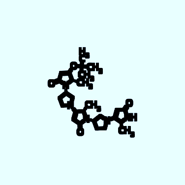 C[C@@H]1NC(=O)C=C1N1CC[C@H](N2C(=O)C=C(N3CC[C@H](N4C(=O)C=C(OC(C)(C)C)[C@@H]4C)C3)[C@@H]2C)C1